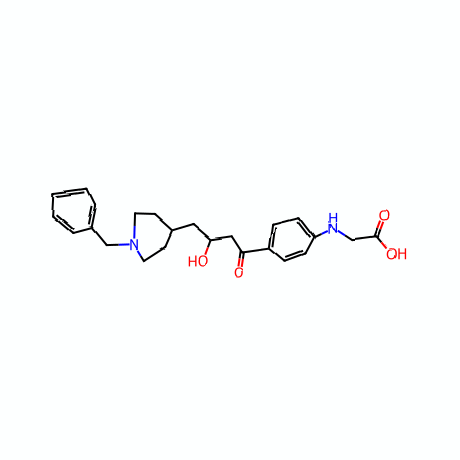 O=C(O)CNc1ccc(C(=O)CC(O)CC2CCN(Cc3ccccc3)CC2)cc1